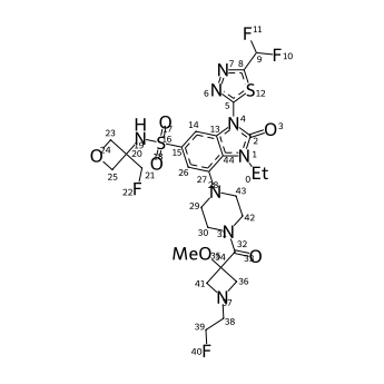 CCn1c(=O)n(-c2nnc(C(F)F)s2)c2cc(S(=O)(=O)NC3(CF)COC3)cc(N3CCN(C(=O)C4(OC)CN(CCF)C4)CC3)c21